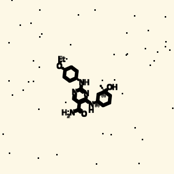 CCO[C@H]1CC[C@H](Nc2ncc(C(N)=O)c(N[C@@H]3CCC[C@](C)(O)C3)n2)CC1